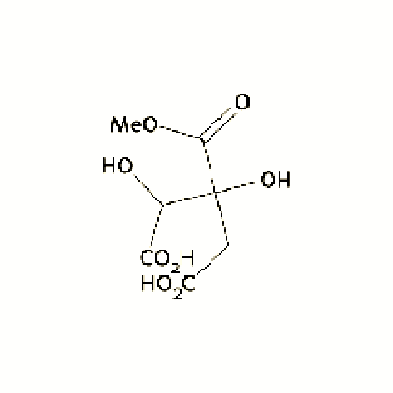 COC(=O)C(O)(CC(=O)O)C(O)C(=O)O